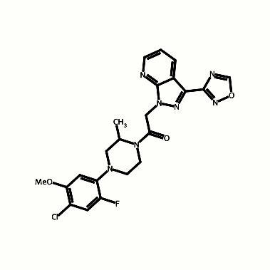 COc1cc(N2CCN(C(=O)Cn3nc(-c4ncon4)c4cccnc43)C(C)C2)c(F)cc1Cl